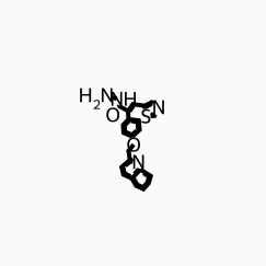 NNC(=O)/C(=C/c1cncs1)c1ccc(OCc2ccc3ccccc3n2)cc1